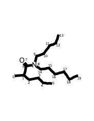 [CH2]C(CCCC)C(=O)N(CCCCC)CCCCCC